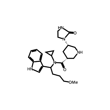 COCCCC(c1c[nH]c2ccccc12)N(C(=O)[C@H]1CNC[C@@H](N2CCNC2=O)C1)C1CC1